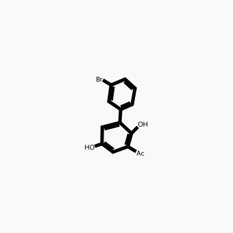 CC(=O)c1cc(O)cc(-c2cccc(Br)c2)c1O